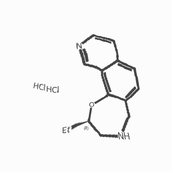 CC[C@@H]1CNCc2ccc3ccncc3c2O1.Cl.Cl